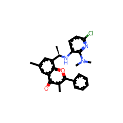 Cc1cc([C@@H](C)Nc2ccc(Cl)nc2N(C)C)c2oc(-c3ccccc3)c(C)c(=O)c2c1